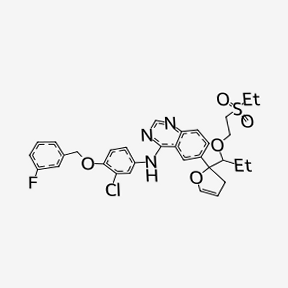 CCC(OCCS(=O)(=O)CC)C1(c2ccc3ncnc(Nc4ccc(OCc5cccc(F)c5)c(Cl)c4)c3c2)CC=CO1